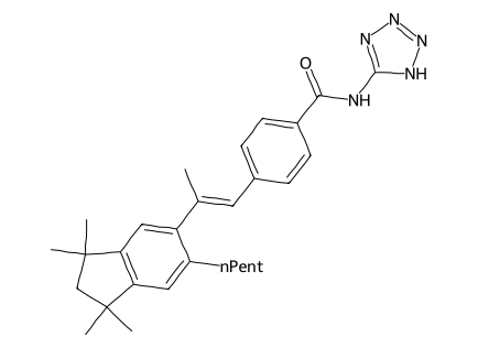 CCCCCc1cc2c(cc1C(C)=Cc1ccc(C(=O)Nc3nnn[nH]3)cc1)C(C)(C)CC2(C)C